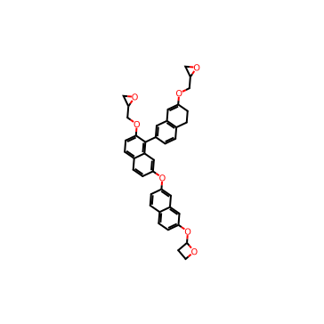 C1=C(OCC2CO2)CCc2ccc(-c3c(OCC4CO4)ccc4ccc(Oc5ccc6ccc(OC7CCO7)cc6c5)cc34)cc21